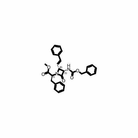 COC(=O)[C@H](Cc1ccccc1)N1C(=O)[C@@H](NC(=O)OCc2ccccc2)[C@H]1C=Cc1ccccc1